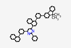 CC1(C)c2ccccc2-c2cc(-c3cccc(-c4ccc(-c5cc(-c6cccc(-c7cccc8ccccc78)c6)nc(-c6ccccc6)n5)c5ccccc45)c3)ccc21